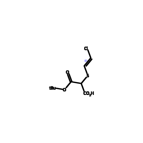 CC(C)(C)OC(=O)C(S/C=C/Cl)C(=O)O